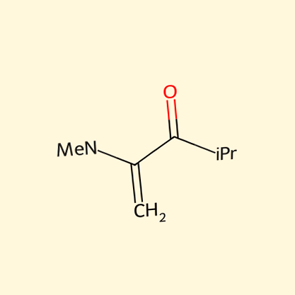 C=C(NC)C(=O)C(C)C